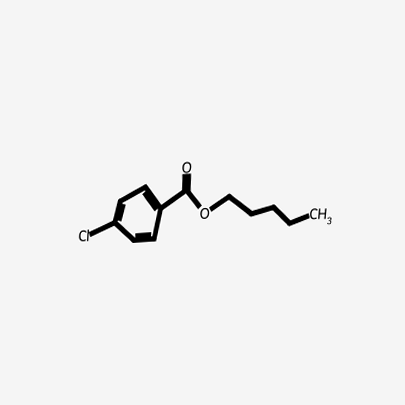 CCCCCOC(=O)c1ccc(Cl)cc1